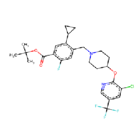 CC(C)(C)OC(=O)c1cc(C2CC2)c(CN2CCC(Oc3ncc(C(F)(F)F)cc3Cl)CC2)cc1F